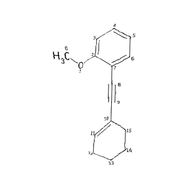 COc1ccccc1C#CC1=CCCCC1